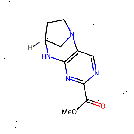 COC(=O)c1ncc2c(n1)N[C@H]1CCN2C1